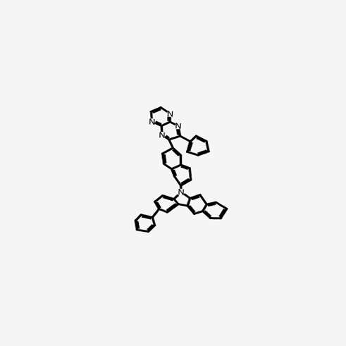 c1ccc(-c2ccc3c(c2)c2cc4ccccc4cc2n3-c2ccc3cc(-c4nc5nccnc5nc4-c4ccccc4)ccc3c2)cc1